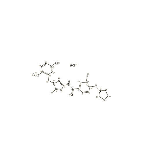 Cc1cc(NC(=O)c2ccc(CN3CCCC3)c(F)c2)nn1Cc1cc(Cl)ccc1OCC(C)C.Cl